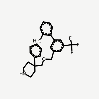 Cc1ccccc1-c1cc(COCC2(c3ccccc3)CCNCC2)cc(C(F)(F)F)c1